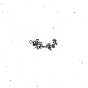 COc1cc(C2NC(=O)c3cc(Cl)ccc3N2)ccc1OCCCOc1c(OC)cc(-c2cc(-c3cc(OC)c(OC)c(OC)c3)no2)cc1OC